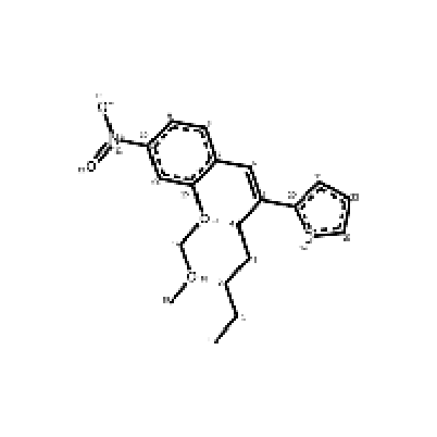 CCCCC/C(=C\c1ccc([N+](=O)[O-])[c]c1OCOC)c1ccco1